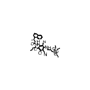 CCCCN(Nc1c(Cl)c(Cl)c(C#N)c(NCCC[Si](OCC)(OCC)OCC)c1C#N)C(=O)C[C@@H](C)c1cccc2ccccc12